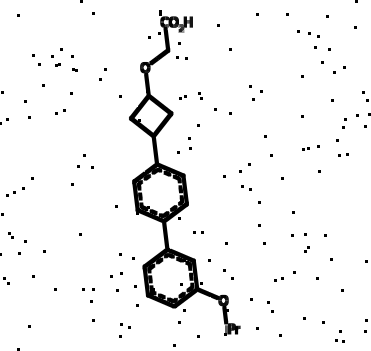 CC(C)Oc1cccc(-c2ccc(C3CC(OCC(=O)O)C3)cc2)c1